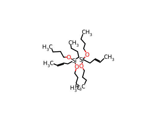 CC=CC[Si](OCCCC)(OCCCC)C(CCC)[Si](CC=CC)(OCCCC)OCCCC